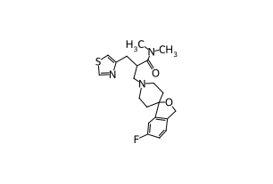 CN(C)C(=O)C(Cc1cscn1)CN1CCC2(CC1)OCc1ccc(F)cc12